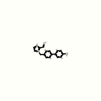 O=Cc1nc[c]n1Cc1ccc(-c2ccc(Cl)cc2)cc1